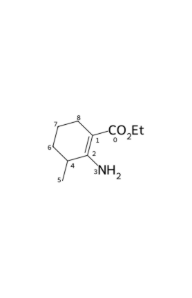 CCOC(=O)C1=C(N)C(C)CCC1